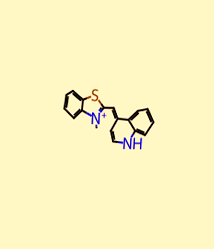 C[n+]1c(/C=C2\C=CNc3ccccc32)sc2ccccc21